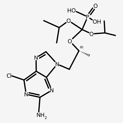 CC(C)OC(OC(C)C)(O[C@H](C)Cn1cnc2c(Cl)nc(N)nc21)P(=O)(O)O